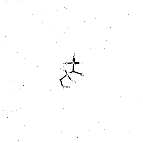 CCCCCCCC[N+](C)(C)C(CC)S(=O)(=O)[O-]